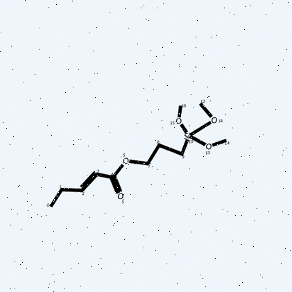 CCC=CC(=O)OCCC[Si](OC)(OC)OC